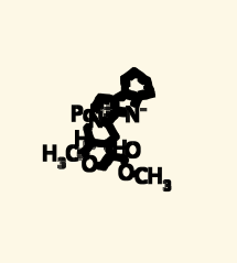 COC(=O)C1=CO[C@@H](C)[C@H]2C[n+]3ccc4c([n-]c5ccccc54)c3C[C@H]12.[Pd+2]